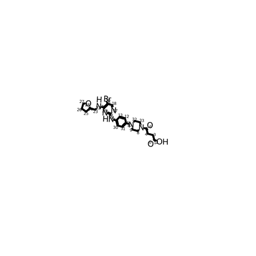 O=C(O)CCC(=O)N1CCN(c2ccc(Nc3ncc(Br)c(NCC4CCCO4)n3)cc2)CC1